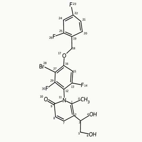 Cc1c(C(O)CO)ccc(=O)n1-c1c(F)cc(OCc2ccc(F)cc2F)c(Br)c1F